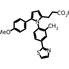 COc1ccc(-c2ccc(CCC(=O)O)n2-c2ccc(-c3nccs3)cc2C)cc1